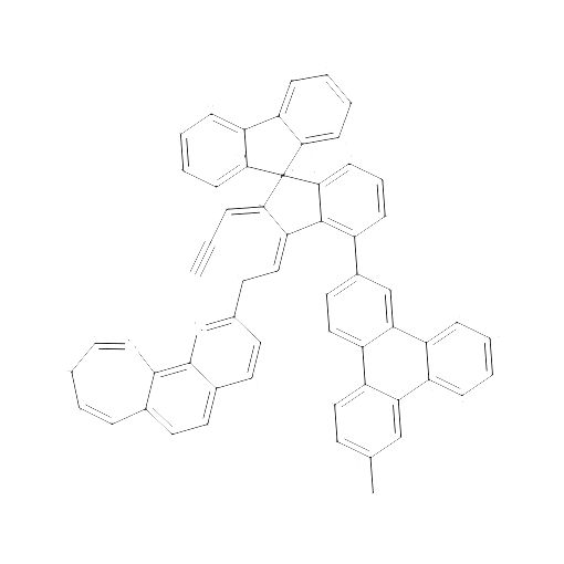 C#C/C=C1\C(=C/Cc2ccc3ccc4c(c3n2)N=CCC=C4)c2c(-c3ccc4c5ccc(C)cc5c5ccccc5c4c3)cccc2C12c1ccccc1-c1ccccc12